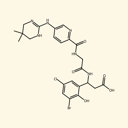 CC1(C)CN=C(Nc2ccc(C(=O)NCC(=O)NC(CC(=O)O)c3cc(Cl)cc(Br)c3O)nc2)NC1